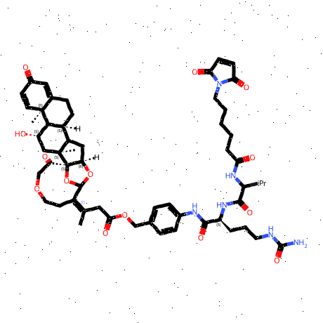 C/C(CC(=O)OCc1ccc(NC(=O)[C@H](CCCNC(N)=O)NC(=O)C(NC(=O)CCCCCN2C(=O)C=CC2=O)C(C)C)cc1)=C1\CCOCC(=O)[C@@]23OC1O[C@@H]2CC1[C@@H]2CCC4=CC(=O)C=C[C@]4(C)C2[C@@H](O)C[C@@]13C